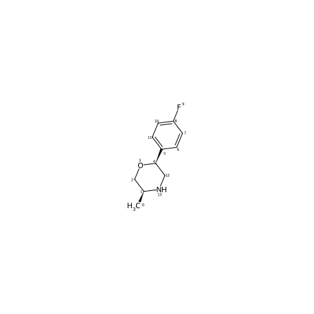 C[C@H]1CO[C@@H](c2ccc(F)cc2)CN1